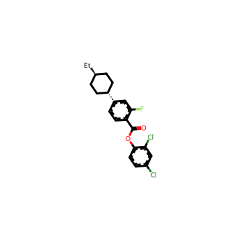 CC[C@H]1CC[C@H](c2ccc(C(=O)Oc3ccc(Cl)cc3Cl)c(F)c2)CC1